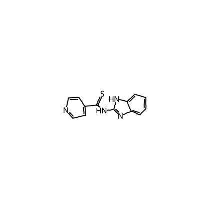 S=C(Nc1nc2ccccc2[nH]1)c1ccncc1